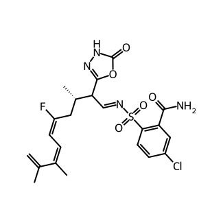 C=C(C)/C(C)=C\C=C(\F)C[C@H](C)C(/C=N/S(=O)(=O)c1ccc(Cl)cc1C(N)=O)c1n[nH]c(=O)o1